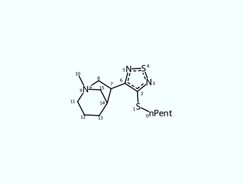 CCCCCSc1nsnc1C1C[N+]2(C)CCCC1C2